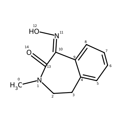 CN1CCc2ccccc2/C(=N/O)C1=O